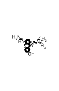 CCN(CC)CCn1nc2c3c(c(NCCN)ccc31)Sc1ccc(O)cc1-2